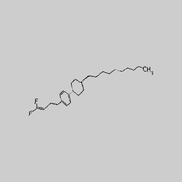 CCCCCCCCCC[C@H]1CC[C@H](c2ccc(CCC=C(F)F)cc2)CC1